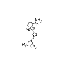 CCN(CC)CCn1ccc(-c2nc3c(C(N)=O)cccc3[nH]2)c1